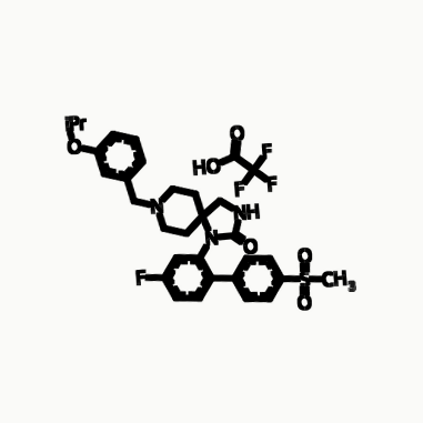 CC(C)Oc1cccc(CN2CCC3(CC2)CNC(=O)N3c2cc(F)ccc2-c2ccc(S(C)(=O)=O)cc2)c1.O=C(O)C(F)(F)F